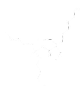 CCCCCC[N+](CC)(CC)C(=O)CP(=O)(OCCCC)OCCCC